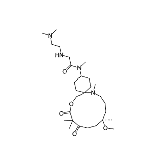 CO[C@]1(C)CCCN(C)C2(CCC(N(C)C(=O)CNCCN(C)C)CC2)COC(=O)C(C)(C)C(=O)CC1